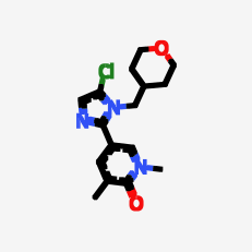 Cc1cc(-c2ncc(Cl)n2CC2CCOCC2)cn(C)c1=O